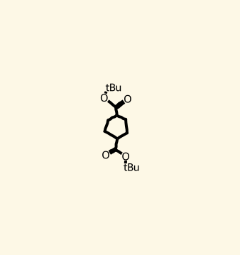 CC(C)(C)OC(=O)C1CCC(C(=O)OC(C)(C)C)CC1